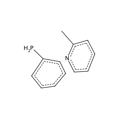 Cc1ccccn1.Pc1ccccc1